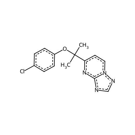 CC(C)(Oc1ccc(Cl)cc1)c1ccn2ncnc2n1